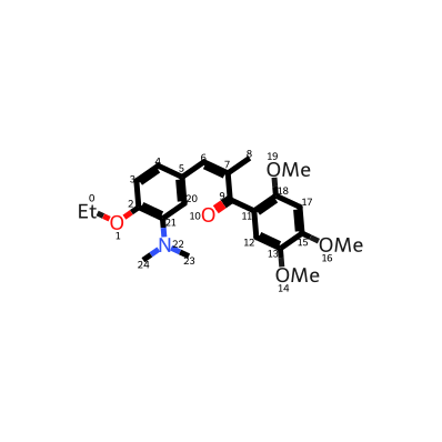 CCOc1ccc(C=C(C)C(=O)c2cc(OC)c(OC)cc2OC)cc1N(C)C